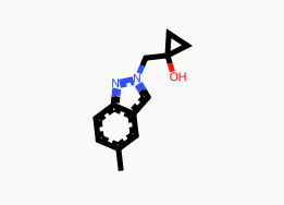 Cc1ccc2nn(CC3(O)CC3)cc2c1